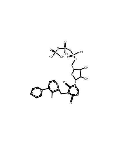 Cc1c(-c2ccccc2)ccnc1Cn1c(=O)ccn([C@@H]2O[C@H](COP(=O)(O)OP(=O)(O)OP(=O)(O)O)C(O)C2O)c1=O